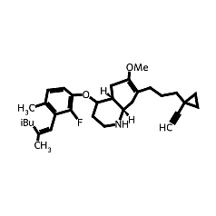 C#CC1(CCCC2=C(OC)C[C@H]3C(Oc4ccc(C)c(/C=C(/C)C(C)CC)c4F)CCN[C@H]3C2)CC1